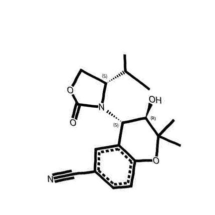 CC(C)[C@H]1COC(=O)N1[C@H]1c2cc(C#N)ccc2OC(C)(C)[C@@H]1O